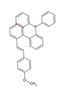 COc1ccc(C=Cc2ccccc2-c2ccccc2P(c2ccccc2)c2ccccc2)cc1